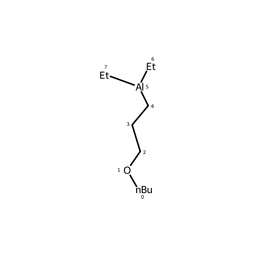 CCCCOCC[CH2][Al]([CH2]C)[CH2]C